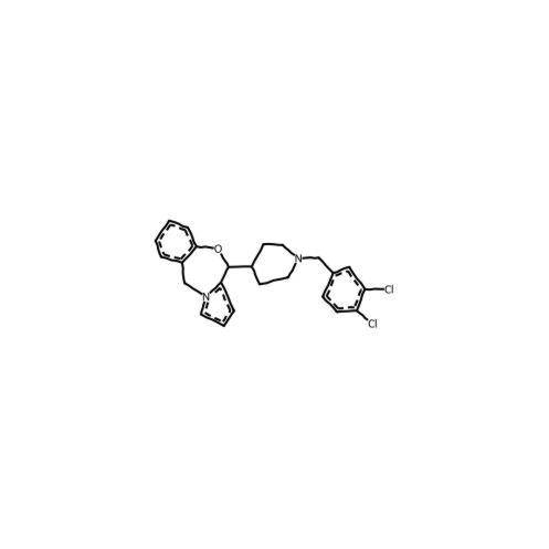 Clc1ccc(CN2CCC(C3Oc4ccccc4Cn4cccc43)CC2)cc1Cl